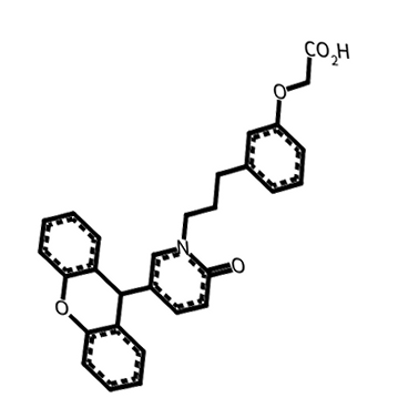 O=C(O)COc1cccc(CCCn2cc(C3c4ccccc4Oc4ccccc43)ccc2=O)c1